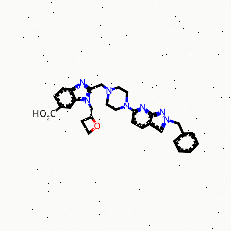 O=C(O)c1ccc2nc(CN3CCN(c4ccc5cn(Cc6ccccc6)nc5n4)CC3)n(C[C@@H]3CCO3)c2c1